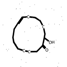 O=C1CCCCCCCC=CCCCCCC1O